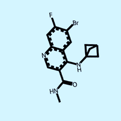 CNC(=O)c1cnc2cc(F)c(Br)cc2c1NC12CC(C1)C2